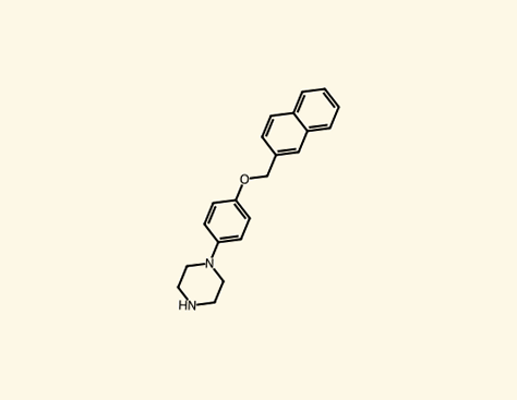 c1ccc2cc(COc3ccc(N4CCNCC4)cc3)ccc2c1